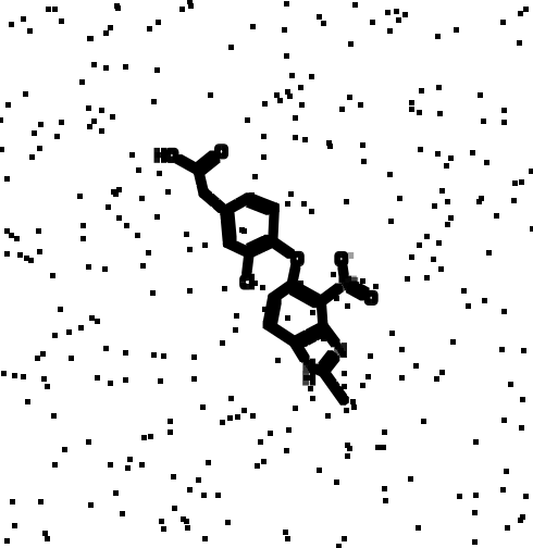 Cc1nc2c([N+](=O)[O-])c(Oc3ccc(CC(=O)O)cc3Cl)ccc2[nH]1